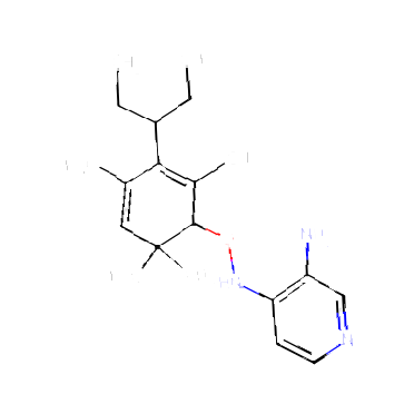 CCC(CC)C1=C(C)C(ONc2ccncc2N)C(C)(C)C=C1C